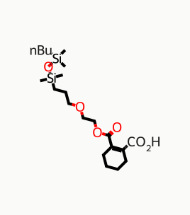 CCCC[Si](C)(C)O[Si](C)(C)CCCOCCOC(=O)C1=C(C(=O)O)CCCC1